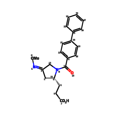 CON=C1C[C@@H](CCC(=O)O)N(C(=O)c2ccc(-c3ccccc3)cc2)C1